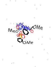 COCC(=O)Nc1ccc(OS(=O)(=O)c2cccc(OC)c2)cc1NC(=N)NC(=O)OC